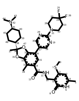 CSc1cc(C)[nH]c(=O)c1CNC(=O)c1cc(-c2cnc(N3CCC(F)(F)CC3)nc2)c2c(c1C)OC(C)([C@H]1CC[C@H](N(C)C)CC1)O2